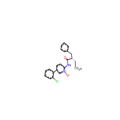 O=C(O)C[C@@H](Cc1ccccc1)C(=O)Nc1ccc(-c2ccccc2Cl)c[n+]1[O-]